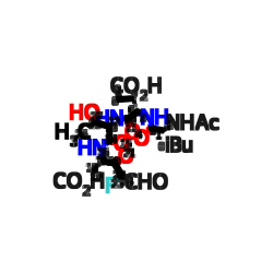 CC[C@H](C)[C@H](NC(C)=O)C(=O)N[C@@H](CCC(=O)O)C(=O)N[C@H](C(=O)N[C@@H](CC(=O)O)C(=O)C(F)C=O)[C@@H](C)O